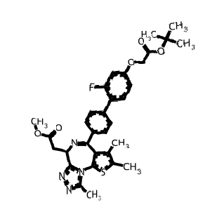 COC(=O)CC1N=C(c2ccc(-c3ccc(OCC(=O)OC(C)(C)C)cc3F)cc2)c2c(sc(C)c2C)-n2c(C)nnc21